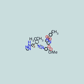 COC(=O)c1ccc(N2CCN(CC3=C(c4cc(Nc5ncccn5)cs4)CC(C)(C)CC3)CC2)cc1Oc1cnc2c(ccn2S(=O)(=O)c2ccc(C)cc2)c1